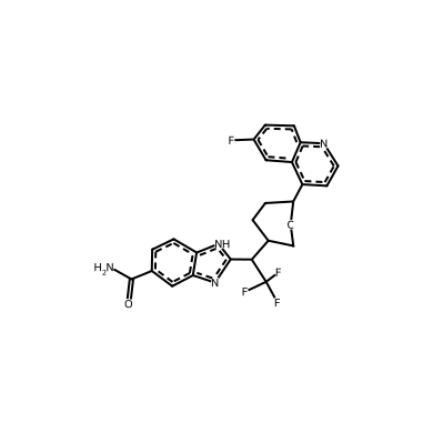 NC(=O)c1ccc2[nH]c(C(C3CCC(c4ccnc5ccc(F)cc45)CC3)C(F)(F)F)nc2c1